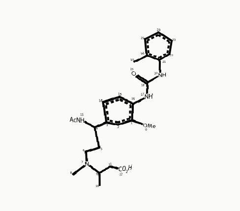 COc1cc(C(CCN(C)C(C)CC(=O)O)NC(C)=O)ccc1NC(=O)Nc1ccccc1C